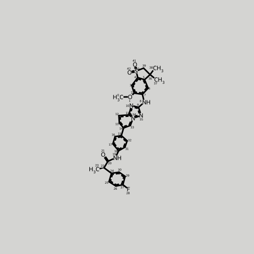 COc1cc2c(cc1Nc1nc3ccc(-c4ccc(NC(=O)[C@H](C)c5ccc(F)cc5)cc4)cn3n1)C(C)(C)CS2(=O)=O